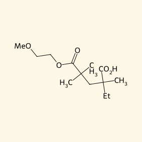 CCC(C)(CC(C)(C)C(=O)OCCOC)C(=O)O